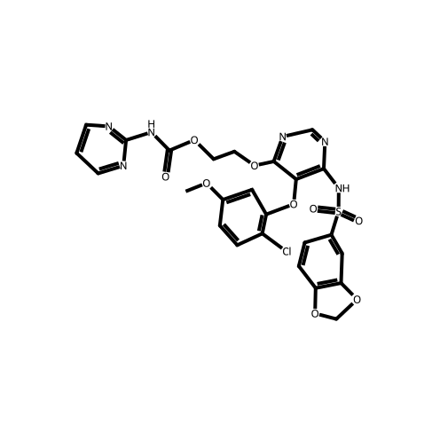 COc1ccc(Cl)c(Oc2c(NS(=O)(=O)c3ccc4c(c3)OCO4)ncnc2OCCOC(=O)Nc2ncccn2)c1